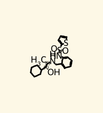 C[C@H](NCc1ccccc1NS(=O)(=O)c1cccs1)[C@H](O)C1CCCCC1